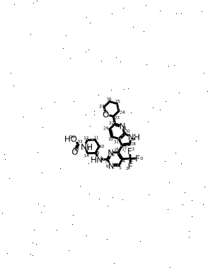 FC(F)(F)c1cnc(NC2CCCNC2)nc1-c1c[nH]c2nc(C3CCCCO3)ccc12.O=CO